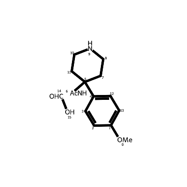 COc1ccc(C2(NC(C)=O)CCNCC2)cc1.O=CO